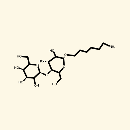 NCCCCCCO[C@@H]1OC(CO)[C@@H](O[C@@H]2OC(CO)[C@H](O)[C@H](O)C2O)[C@H](O)C1O